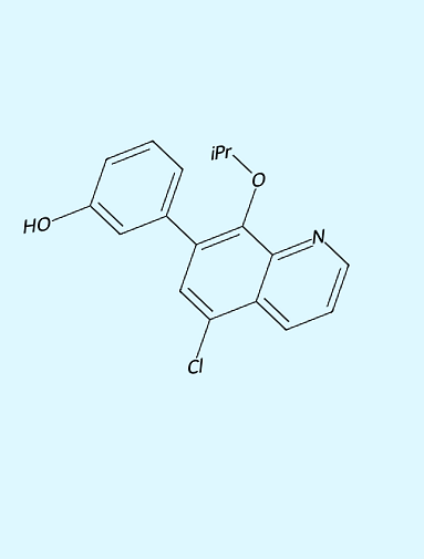 CC(C)Oc1c(-c2cccc(O)c2)cc(Cl)c2cccnc12